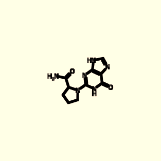 NC(=O)C1CCCN1c1nc2[nH]cnc2c(=O)[nH]1